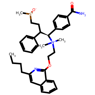 CCCCc1cc2ccccc2c(OCC[N+](C)(C)[C@H](c2ccc(C(N)=O)cc2)C(CC[S+](C)[O-])c2ccccc2)n1